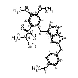 COc1ccc(Cc2cn3c(Cc4cc(OC)c(OC)cc4S(=O)(=O)N(C)C)nnc3s2)cc1